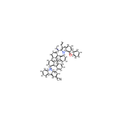 C=Cc1c(/C=C\C)n(-c2cccc([Si](c3ccccc3)(c3ccccc3)c3cccc(-n4c5ccccc5c5cc(C#N)ccc54)c3)c2)c2c1ccc1c3ccccc3oc12